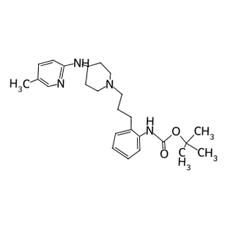 Cc1ccc(NC2CCN(CCCc3ccccc3NC(=O)OC(C)(C)C)CC2)nc1